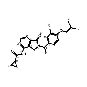 CC(c1ccc(OCC(F)F)c(Cl)c1)N1Cc2c(ccnc2NC(=O)C2CC2)C1=O